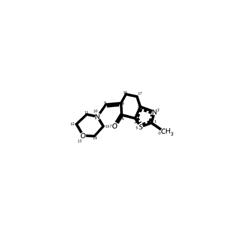 Cc1nc2c(s1)C(=O)/C(=C\N1CCOCC1)CC2